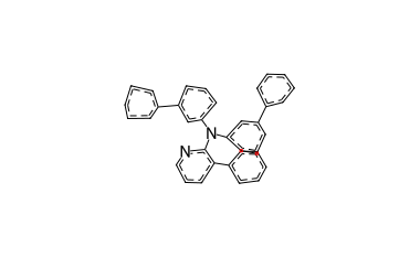 c1ccc(-c2cccc(N(c3cccc(-c4ccccc4)c3)c3ncccc3-c3ccccc3)c2)cc1